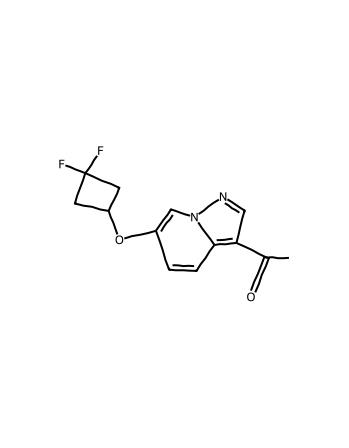 CC(=O)c1cnn2cc(OC3CC(F)(F)C3)ccc12